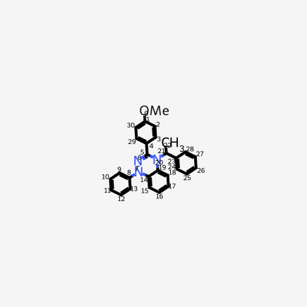 COc1ccc(C2=NN(c3ccccc3)c3ccccc3N2C(C)c2ccccc2)cc1